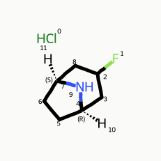 Cl.FC1C[C@H]2CC[C@@H](C1)N2